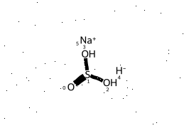 O=S(O)O.[H-].[Na+]